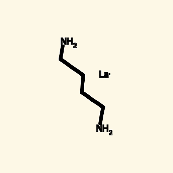 NCCCCN.[La]